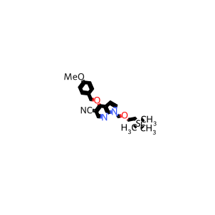 COc1ccc(COc2c(C#N)cnc3c2ccn3COCC[Si](C)(C)C)cc1